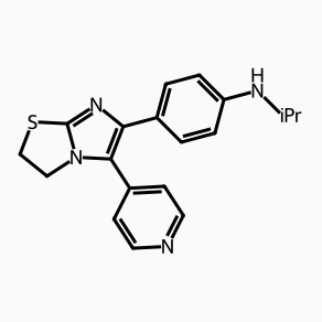 CC(C)Nc1ccc(-c2nc3n(c2-c2ccncc2)CCS3)cc1